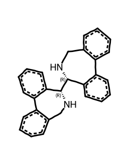 c1ccc2c(c1)CN[C@@H]([C@@H]1NCc3ccccc3-c3ccccc31)c1ccccc1-2